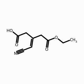 CCOC(=O)CC(=CC#N)CC(=O)O